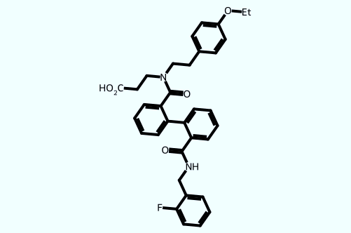 CCOc1ccc(CCN(CCC(=O)O)C(=O)c2ccccc2-c2ccccc2C(=O)NCc2ccccc2F)cc1